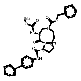 CC(C)(C)OC(=O)N[C@H]1CN(C(=O)OCc2ccccc2)CC[C@H]2CC[C@@H](C(=O)Nc3ccc(-c4ccccc4)cc3)N2C1=O